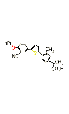 CCCOc1ccc(-c2ccc(-c3ccc(C(C)C(=O)O)cc3C)s2)cc1C#N